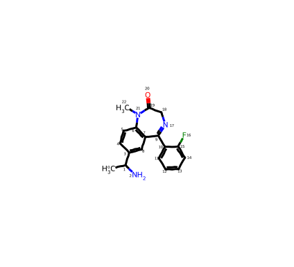 CC(N)c1ccc2c(c1)C(c1ccccc1F)=NCC(=O)N2C